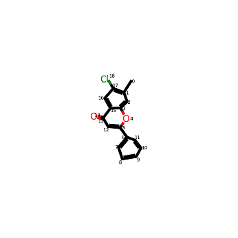 Cc1cc2oc(-c3ccccc3)cc(=O)c2cc1Cl